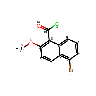 COc1ccc2c(Br)cccc2c1C(=O)Cl